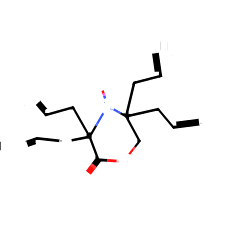 C=CCC1(CC=C)COC(=O)C(CC=C)(CC=C)N1O